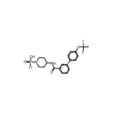 O=C(NC1CCN(P(=O)(O)Cl)CC1)c1cccc(-c2ccc(OC(F)(F)F)cc2)c1